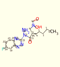 CCCCC[C@H](CN(O)C=O)C(=O)N(N)c1nnc2cc(F)ccc2n1